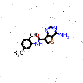 Cc1ccc(C)c(NC(=O)c2csc3c(N)ncnc23)c1